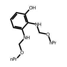 CCCOCNc1cccc(O)c1NCOCCC